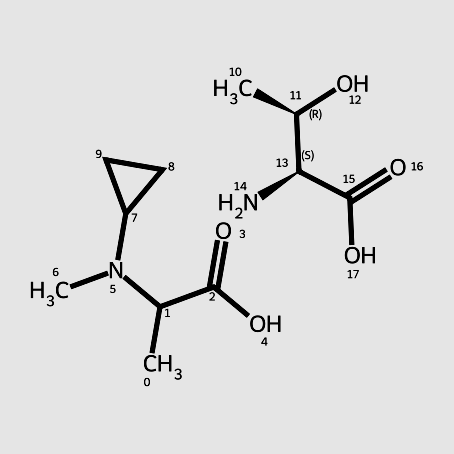 CC(C(=O)O)N(C)C1CC1.C[C@@H](O)[C@H](N)C(=O)O